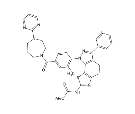 COC(=O)Nc1nc2c(s1)-c1c(c(-c3cccnc3)nn1-c1ccc(C(=O)N3CCCN(c4ncccn4)CC3)cc1C)CC2